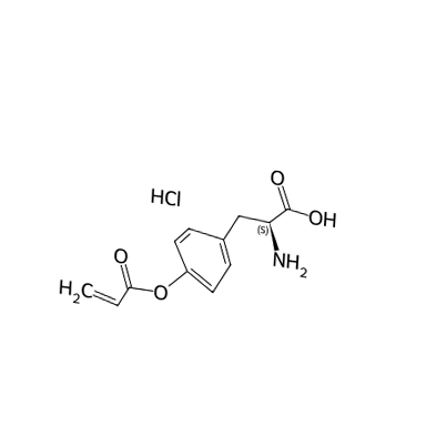 C=CC(=O)Oc1ccc(C[C@H](N)C(=O)O)cc1.Cl